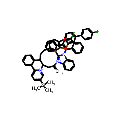 C=C1CC2C(CCc3ccc4c(sc5cc(-c6ccc(F)cc6)ccc54)c3-c3n(-c4c(-c5ccccc5)cc(F)c5ccccc45)c4ccccc4[n+]31)c1ccccc1-c1ccc([Si](C)(C)C)c[n+]12